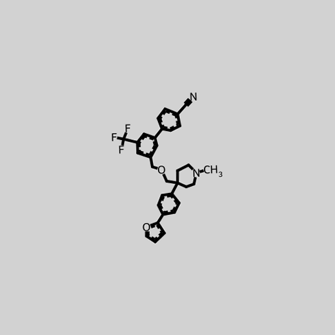 CN1CCC(COCc2cc(-c3ccc(C#N)cc3)cc(C(F)(F)F)c2)(c2ccc(-c3ccco3)cc2)CC1